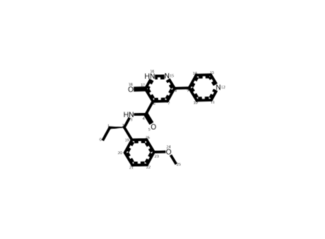 CC[C@@H](NC(=O)c1cc(-c2ccncc2)n[nH]c1=O)c1cccc(OC)c1